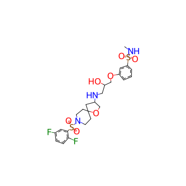 CNS(=O)(=O)c1cccc(OCC(O)CNC2COC3(CCN(S(=O)(=O)c4cc(F)ccc4F)CC3)C2)c1